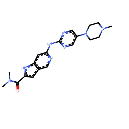 CN1CCN(c2cnc(Nc3cc4[nH]c(C(=O)N(C)C)cc4cn3)nc2)CC1